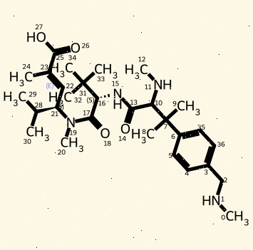 CNCc1ccc(C(C)(C)C(NC)C(=O)N[C@H](C(=O)N(C)[C@H](/C=C(\C)C(=O)O)C(C)C)C(C)(C)C)cc1